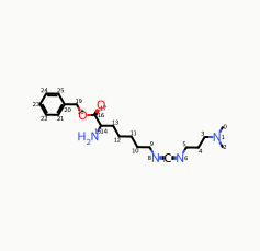 CN(C)CCCN=C=NCCCCCC(N)C(=O)OCc1ccccc1